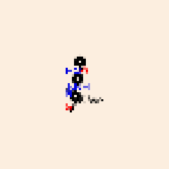 COc1cc2c(Nc3ccc(NC(=O)c4ccccc4)cc3)ncnc2cc1C[C@@H]1CO1